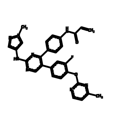 C=CC(=O)Nc1ccc(-c2nc(Nc3cnn(C)c3)ncc2-c2ccc(Oc3nccc(C)n3)c(F)c2)cc1